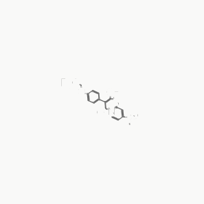 C[S+]([O-])c1ccn2c(=O)c(-c3ccc(OCC(F)(F)F)cc3)c(C(F)(F)F)nc2c1